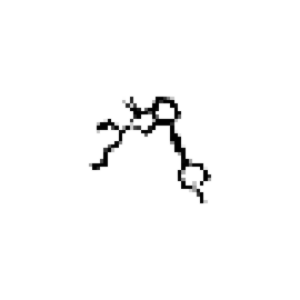 C=CCCC(C=C)N1CC2=C(C#CC3CCN(C)CC3)CCC=C2C1=O